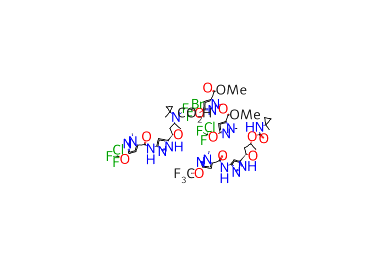 COC(=O)c1cc(OC(F)(F)Br)nn1C.COC(=O)c1cc(OC(F)(F)Cl)nn1C.Cn1nc(OC(F)(F)Cl)cc1C(=O)Nc1cc([C@H]2C[C@@H](N(C(=O)O)C3(C)CC3)CO2)[nH]n1.Cn1nc(OC(F)(F)F)cc1C(=O)Nc1cc([C@H]2C[C@@H](OC(=O)NC3(C)CC3)CO2)[nH]n1